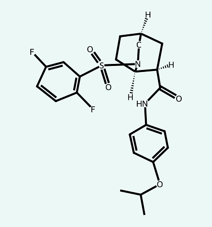 CC(C)Oc1ccc(NC(=O)[C@@H]2C[C@@H]3CC[C@H]2N(S(=O)(=O)c2cc(F)ccc2F)C3)cc1